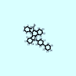 In1c2ccccc2c2c3c4ccccc4n(-c4ccc(-c5ccccc5)cc4)c3c3ccccc3c21